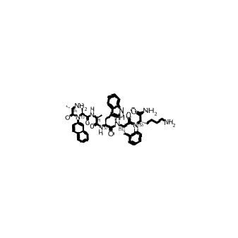 C[C@H](N)C(=O)N(c1ccc2ccccc2c1)[C@@H](C)C(=O)N[C@@H](C)C(=O)N[C@@H](Cc1c[nH]c2ccccc12)C(=O)N[C@@H](Cc1ccccc1)C(=O)N[C@@H](CCCCN)C(N)=O